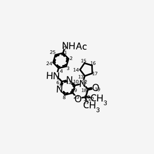 CC(=O)Nc1ccc(Nc2ncc3c(n2)N(C2CCCC2)C(=O)C(C)(C)O3)cc1